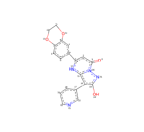 O=c1cc(-c2ccc3c(c2)OCCO3)[nH]c2c(-c3cccnc3)c(O)nn12